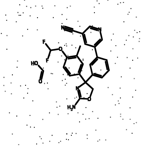 Cc1cc(C2(c3cccc(-c4cncc(C#N)c4)c3)COC(N)=N2)ccc1OC(F)F.O=CO